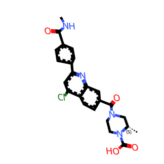 CNC(=O)c1ccc(-c2cc(Cl)c3ccc(C(=O)N4CCN(C(=O)O)[C@@H](C)C4)cc3n2)cc1